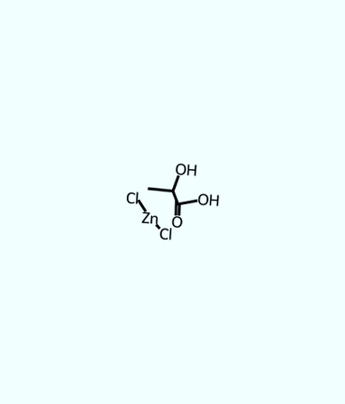 CC(O)C(=O)O.[Cl][Zn][Cl]